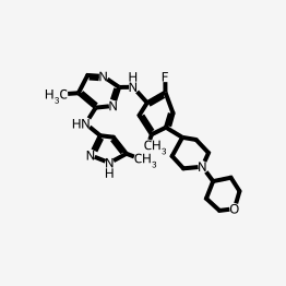 Cc1cc(Nc2nc(Nc3cc(C)c(C4CCN(C5CCOCC5)CC4)cc3F)ncc2C)n[nH]1